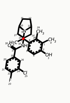 Cc1c(O)ccc(C(C)N2C3CCC2CC(NC(=O)c2ccc(F)c(Cl)c2)C3)c1C